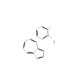 COc1ccccc1O.c1ccc2cccc-2cc1